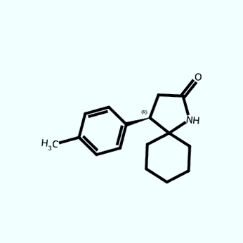 Cc1ccc([C@H]2CC(=O)NC23CCCCC3)cc1